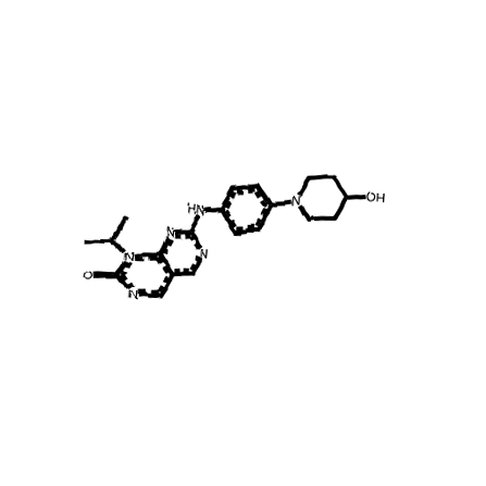 CC(C)n1c(=O)ncc2cnc(Nc3ccc(N4CCC(O)CC4)cc3)nc21